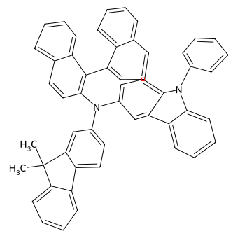 CC1(C)c2ccccc2-c2ccc(N(c3ccc4c(c3)c3ccccc3n4-c3ccccc3)c3ccc4ccccc4c3-c3cccc4ccccc34)cc21